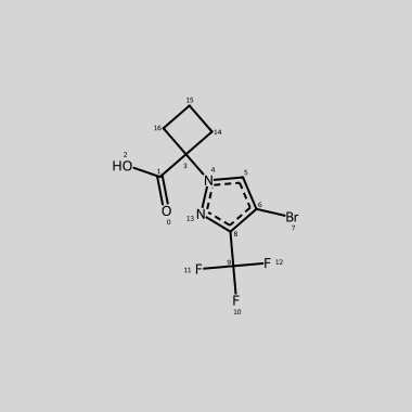 O=C(O)C1(n2cc(Br)c(C(F)(F)F)n2)CCC1